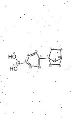 OB(O)c1ccc(C23CCC(CC2)C3)cc1